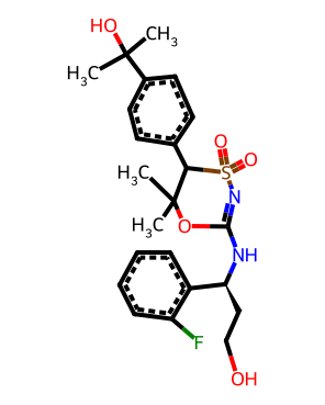 CC(C)(O)c1ccc(C2C(C)(C)OC(N[C@@H](CCO)c3ccccc3F)=NS2(=O)=O)cc1